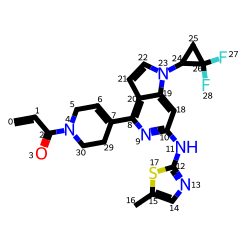 C=CC(=O)N1CC=C(c2nc(Nc3ncc(C)s3)cc3c2ccn3C2CC2(F)F)CC1